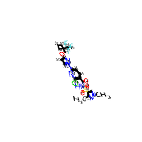 Cc1nn(C)cc1S(=O)(=O)NC(=O)c1ccc(-n2ccc(OCC3(C(F)(F)F)CCC3)n2)nc1Cl